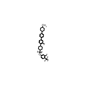 CC1CCC(c2ccc(-c3ccc(C4CCC(C(F)(F)Oc5ccc(C(F)(F)F)c(F)c5)CC4)c(F)c3)cc2)CC1